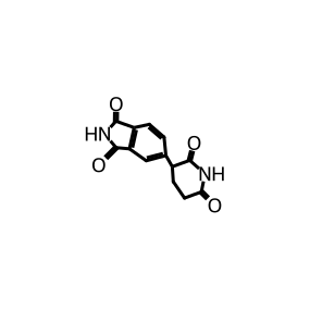 O=C1CCC(c2ccc3c(c2)C(=O)NC3=O)C(=O)N1